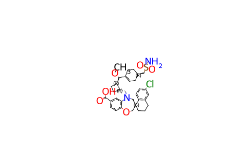 COC(C1=CC[C@H](CS(N)(=O)=O)CC1)[C@@H]1CC[C@H]1CN1C[C@@]2(CCCc3cc(Cl)ccc32)COc2ccc(C(=O)O)cc21